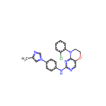 Cc1cn(-c2ccc(Nc3ncc4c(n3)N(c3ccccc3Cl)CCO4)cc2)cn1